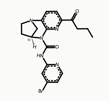 CCCC(=O)c1ccc2c(n1)N(C(=O)Nc1cc(Br)ccn1)[C@H]1CCN2C1